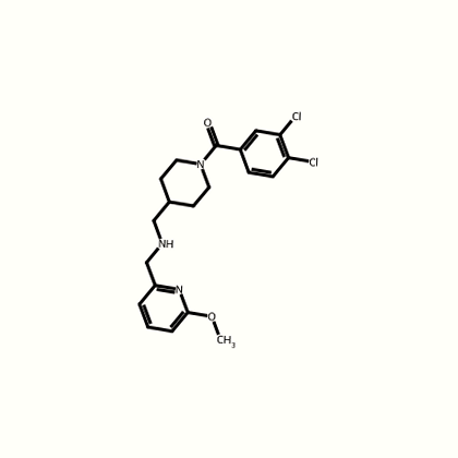 COc1cccc(CNCC2CCN(C(=O)c3ccc(Cl)c(Cl)c3)CC2)n1